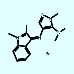 CC1=[N+](C)c2ccccc2/C1=N/c1cnn(C)c1N(C)C.[Br-]